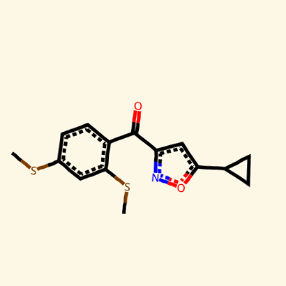 CSc1ccc(C(=O)c2cc(C3CC3)on2)c(SC)c1